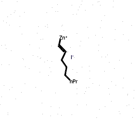 CCCCCCC=[CH][Zn+].[I-]